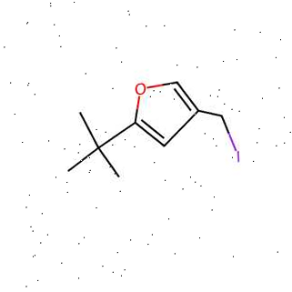 CC(C)(C)c1cc(CI)co1